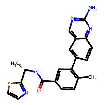 Cc1ccc(C(=O)N[C@@H](C)c2nccs2)cc1-c1ccc2nc(N)ncc2c1